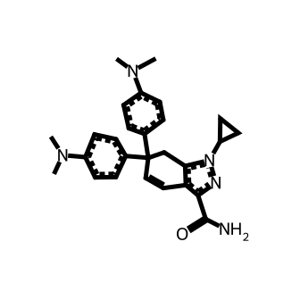 CN(C)c1ccc(C2(c3ccc(N(C)C)cc3)C=Cc3c(C(N)=O)nn(C4CC4)c3C2)cc1